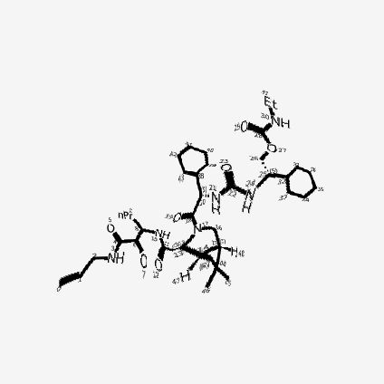 C=CCNC(=O)C(=O)C(CCC)NC(=O)[C@@H]1[C@@H]2[C@H](CN1C(=O)[C@@H](NC(=O)N[C@H](COC(=O)NCC)C1CCCCC1)C1CCCCC1)C2(C)C